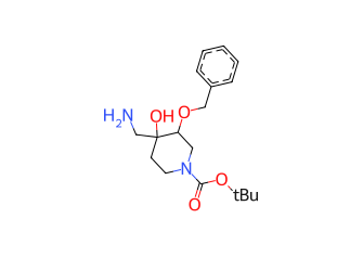 CC(C)(C)OC(=O)N1CCC(O)(CN)C(OCc2ccccc2)C1